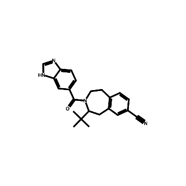 CC(C)(C)C1Cc2cc(C#N)ccc2CCN1C(=O)c1ccc2nc[nH]c2c1